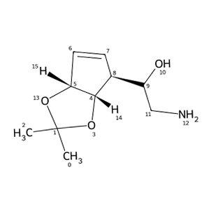 CC1(C)O[C@@H]2[C@@H](C=C[C@H]2C(O)CN)O1